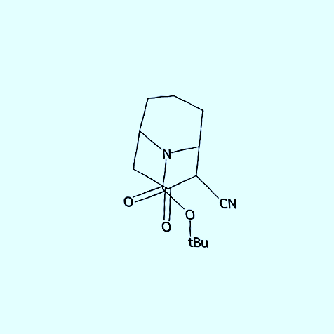 CC(C)(C)OC(=O)N1C2CCCC1C(C#N)C(=O)C2